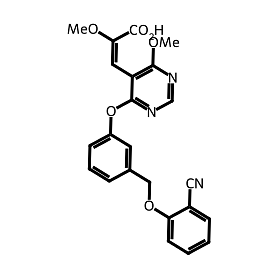 COC(=Cc1c(OC)ncnc1Oc1cccc(COc2ccccc2C#N)c1)C(=O)O